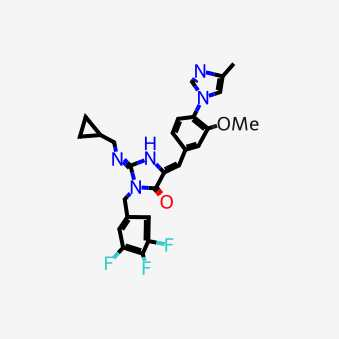 COc1cc(/C=C2\N/C(=N\CC3CC3)N(Cc3cc(F)c(F)c(F)c3)C2=O)ccc1-n1cnc(C)c1